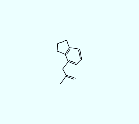 [CH]=C(C)Cc1cccc2c1CCC2